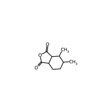 CC1CCC2C(=O)OC(=O)C2C1C